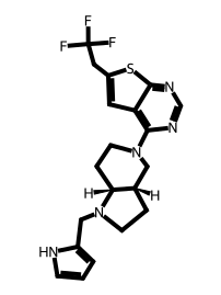 FC(F)(F)Cc1cc2c(N3CC[C@@H]4[C@@H](CCN4Cc4ccc[nH]4)C3)ncnc2s1